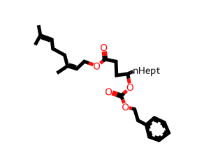 CCCCCCCC(CCC(=O)OCC=C(C)CCC=C(C)C)OC(=O)OCCc1ccccc1